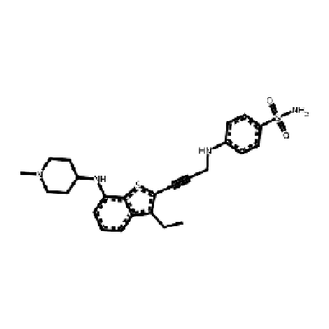 CCc1c(C#CCNc2ccc(S(N)(=O)=O)cc2)sc2c(NC3CCN(C)CC3)cccc12